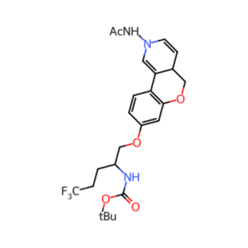 CC(=O)NN1C=CC2COc3cc(OCC(CCC(F)(F)F)NC(=O)OC(C)(C)C)ccc3C2=C1